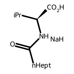 CCCCCCCC(=O)N[C@H](C(=O)O)C(C)C.[NaH]